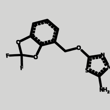 Nc1nnc(OCc2cccc3c2OC(F)(F)O3)s1